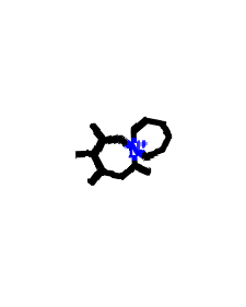 CC1CC(C)[N+]2(CCCCCC2)CC(C)C1C